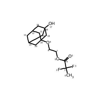 CC(F)(F)C(=O)OCCOC12CC3CC(CC(O)(C3)C1)C2